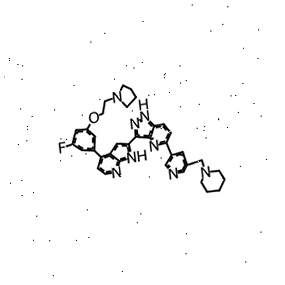 Fc1cc(OCCN2CCCC2)cc(-c2ccnc3[nH]c(-c4n[nH]c5ccc(-c6cncc(CN7CCCCC7)c6)nc45)cc23)c1